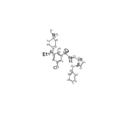 CCN(c1cc(Cl)cc(C(=O)NCc2nccn2Cc2ccccc2)c1C)[C@H]1CC[C@H](N(C)C)CC1